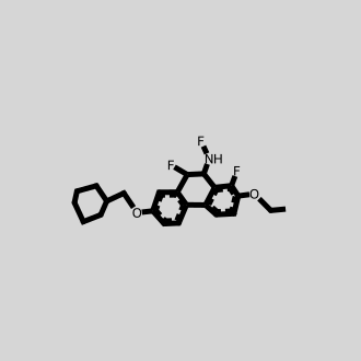 CCOc1ccc2c(c1F)C(NF)C(F)c1cc(OCC3CCCCC3)ccc1-2